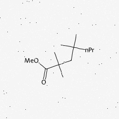 CCCC(C)(C)CC(C)(C)C(=O)OC